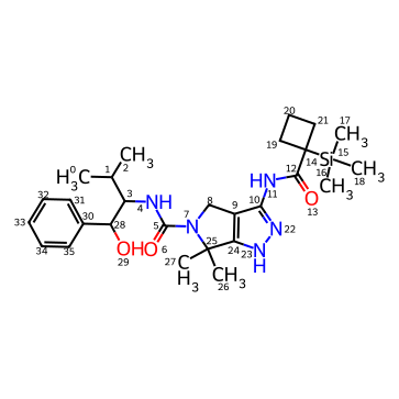 CC(C)C(NC(=O)N1Cc2c(NC(=O)C3([Si](C)(C)C)CCC3)n[nH]c2C1(C)C)C(O)c1ccccc1